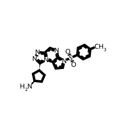 Cc1ccc(S(=O)(=O)n2ccc3c2ncc2nnc([C@@H]4CC[C@@H](N)C4)n23)cc1